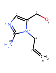 C=CCn1c(CO)cnc1N